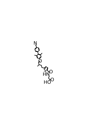 Cc1cc(OCC(C)CCc2ccc(C(=O)NCCC(=O)O)s2)cc(C)c1-c1ccc(C#N)cc1